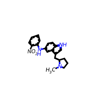 CN1CCCC1Cc1c[nH]c2ccc(Nc3ccccc3[N+](=O)[O-])cc12